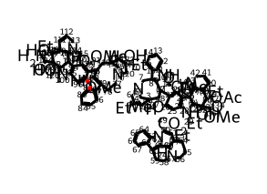 CCC1=C[C@@H]2C[N@](C1)Cc1c([nH]c3ccccc13)[C@@](C(=O)OC)(c1cc3c(cc1OC)N(C)[C@H]1[C@@](O)(C(=O)OC)[C@H](OC(C)=O)[C@]4(CC)C=CCN5CC[C@]31[C@@H]54)C2.CCOC(=O)C1=C[C@]2(CC)CCCN3CCc4c(n1c1ccccc41)[C@@H]32.CC[C@]1(O)C[C@H]2C[N@](CCc3c([nH]c4ccccc34)[C@@](C(=O)OC)(c3cc4c(cc3OC)N(C)[C@H]3[C@@](O)(C(N)=O)[C@H](O)[C@]5(CC)C=CCN6CC[C@]43[C@@H]65)C2)C1